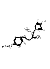 COc1ccc(COC(C)[C@H](O)c2ccc(F)cc2)cc1